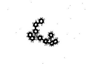 c1ccc(-c2cccc(-c3ccc(N(c4ccc(-c5ccc6c7ccc8ccccc8c7n(-c7ccccc7)c6c5)cc4)c4cccc5ccccc45)cc3)c2)cc1